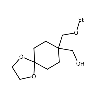 CCOCC1(CO)CCC2(CC1)OCCO2